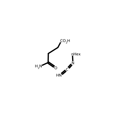 CCCCCCN=C=N.NC(=O)CCC(=O)O